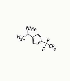 CNC(C)c1ccc(C(F)(F)C(F)(F)F)cc1